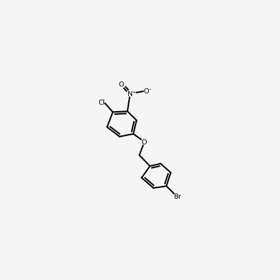 O=[N+]([O-])c1cc(OCc2ccc(Br)cc2)ccc1Cl